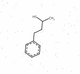 CC(S)CCc1cc[c]cc1